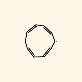 [CH]1/C=C\C=C/C/C=C\C=C/1